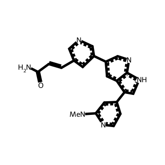 CNc1cc(-c2c[nH]c3ncc(-c4cncc(/C=C/C(N)=O)c4)cc23)ccn1